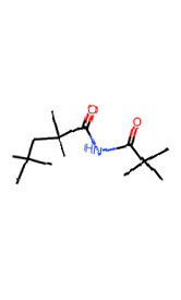 CC(C)(C)CC(C)(C)C(=O)NC(=O)C(C)(C)C